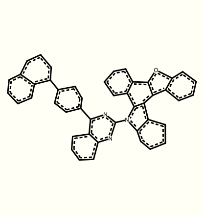 c1ccc2c(-c3ccc(-c4nc(-n5c6ccccc6c6c7c8ccccc8oc7c7ccccc7c65)nc5ccccc45)cc3)cccc2c1